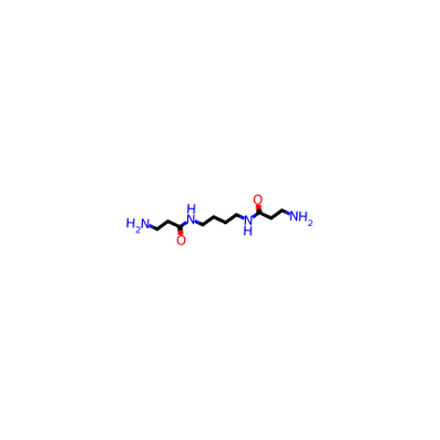 NCCC(=O)NCCCCNC(=O)CCN